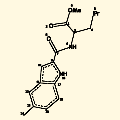 COC(=O)C(CC(C)C)NC(=O)c1cc2cc(C)ccc2[nH]1